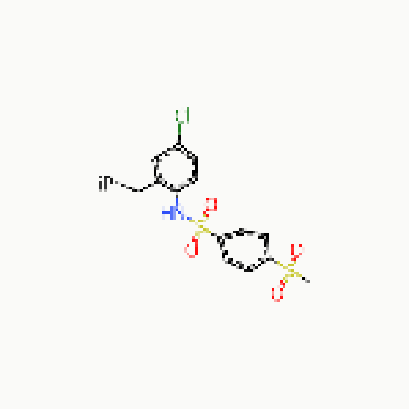 CC(C)Cc1cc(Cl)ccc1NS(=O)(=O)c1ccc(S(C)(=O)=O)cc1